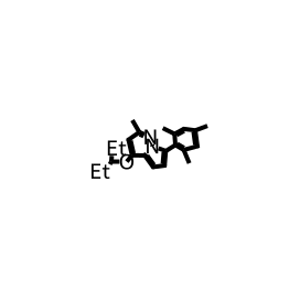 CCC(CC)Oc1cc(C)nn2c(-c3c(C)cc(C)cc3C)ccc12